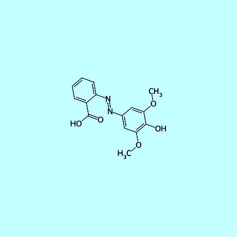 COc1cc(N=Nc2ccccc2C(=O)O)cc(OC)c1O